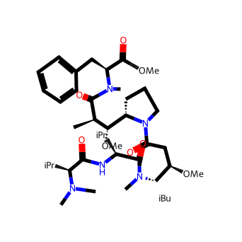 CC[C@H](C)[C@@H]([C@@H](CC(=O)N1CCC[C@H]1[C@H](OC)[C@@H](C)C(=O)N(C)[C@@H](Cc1ccccc1)C(=O)OC)OC)N(C)C(=O)[C@@H](NC(=O)[C@H](C(C)C)N(C)C)C(C)C